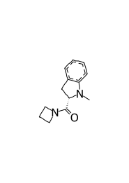 CN1c2ccccc2C[C@H]1C(=O)N1CCC1